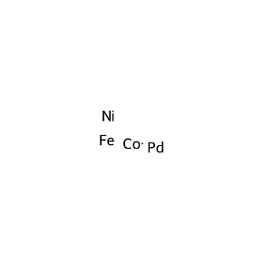 [Co].[Fe].[Ni].[Pd]